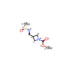 CC(C)(C)OC(=O)N1CC(/C=N/[S+]([O-])C(C)(C)C)C1